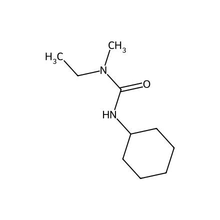 CCN(C)C(=O)NC1CCCCC1